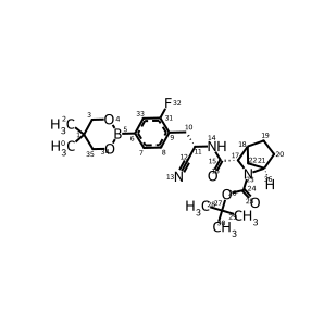 CC1(C)COB(c2ccc(C[C@@H](C#N)NC(=O)[C@@H]3C4CC[C@H](C4)N3C(=O)OC(C)(C)C)c(F)c2)OC1